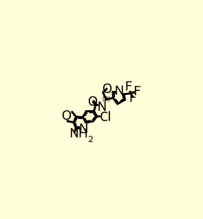 CN(C(=O)c1cc2c3c(c(N)nc2cc1Cl)COC3)[C@H]1COc2nc(C(F)(F)F)ccc21